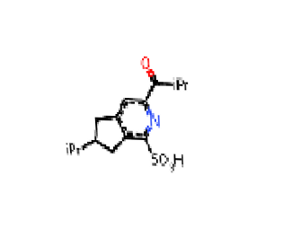 CC(C)C(=O)c1cc2c(c(S(=O)(=O)O)n1)CC(C(C)C)C2